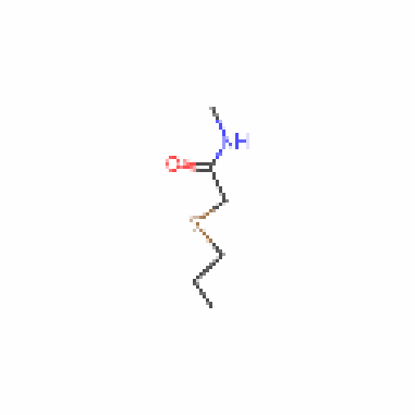 CCCSCC(=O)NC